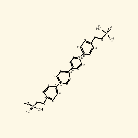 O=P(O)(O)CCc1ccc(-[n+]2ccc(-c3cc[n+](-c4ccc(CCP(=O)(O)O)cc4)cc3)cc2)cc1